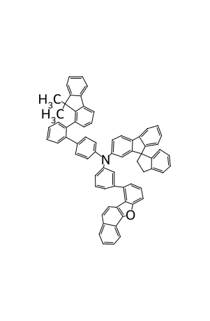 CC1(C)c2ccccc2-c2cccc(-c3ccccc3-c3ccc(N(c4cccc(-c5cccc6oc7c8ccccc8ccc7c56)c4)c4ccc5c(c4)C4(CCc6ccccc64)c4ccccc4-5)cc3)c21